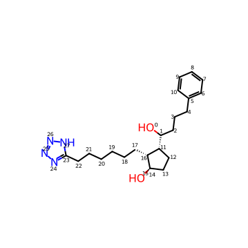 OC(CCCc1ccccc1)[C@@H]1CC[C@@H](O)[C@@H]1CCCCCCc1nnn[nH]1